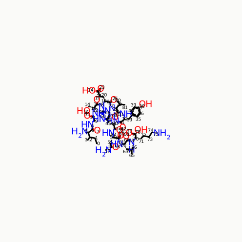 CCC(C)[C@H](N)C(=O)NCC(=O)N[C@@H](CO)C(=O)N[C@@H](CCC(=O)O)C(=O)N[C@H](C(=O)N[C@@H](Cc1ccc(O)cc1)C(=O)N[C@@H](Cc1cnc[nH]1)C(=O)N[C@@H](CC(N)=O)C(=O)N[C@@H](CC(C)C)C(=O)N[C@@H](CCCCN)C(=O)O)C(C)C